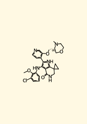 COc1c(Cl)cccc1Nc1c(-c2ccncc2OC[C@H]2COCCN2C)[nH]c2c1C(=O)NCC21CC1